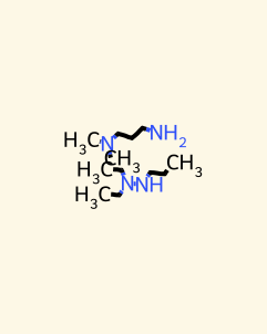 CCCNN(CC)CC.CN(C)CCCN